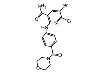 NC(=O)c1cc(Br)c(Cl)nc1Nc1ccc(C(=O)N2CCOCC2)cc1